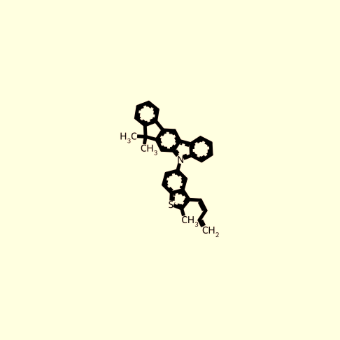 C=C/C=C\c1c(C)sc2ccc(-n3c4ccccc4c4cc5c(cc43)C(C)(C)c3ccccc3-5)cc12